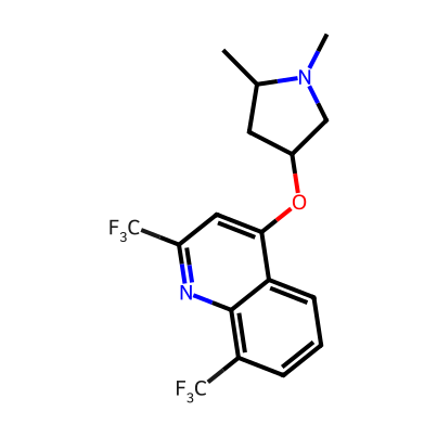 CC1CC(Oc2cc(C(F)(F)F)nc3c(C(F)(F)F)cccc23)CN1C